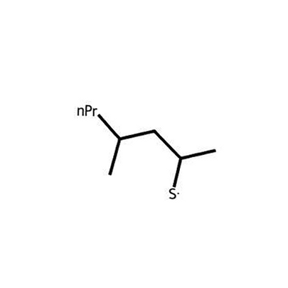 CCCC(C)CC(C)[S]